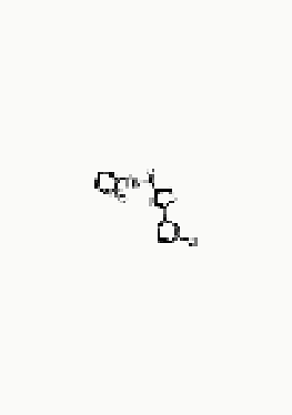 O=C(NCc1cccc[n+]1[O-])c1csc(-c2cccc(Cl)c2)n1